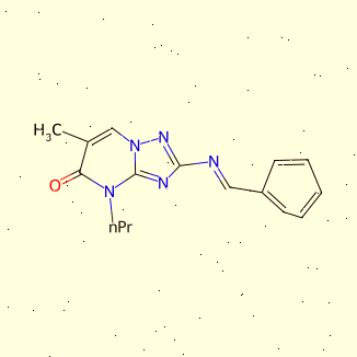 CCCn1c(=O)c(C)cn2nc(N=Cc3ccccc3)nc12